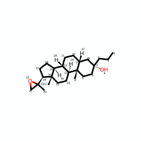 CCC[C@@]1(O)CC[C@@]2(C)[C@H](CC[C@@H]3[C@@H]2CC[C@]2(C)[C@@H](C4(C)CO4)CC[C@@H]32)C1